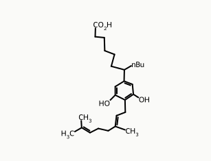 CCCCC(CCCCCC(=O)O)c1cc(O)c(C/C=C(\C)CCC=C(C)C)c(O)c1